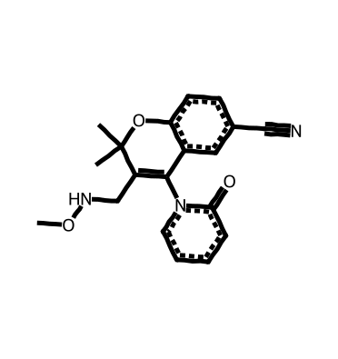 CONCC1=C(n2ccccc2=O)c2cc(C#N)ccc2OC1(C)C